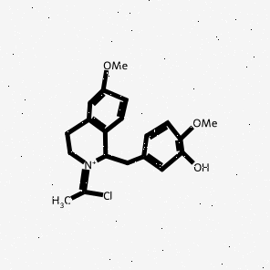 COc1ccc2c(c1)CC/[N+](=C(\C)Cl)C2Cc1ccc(OC)c(O)c1